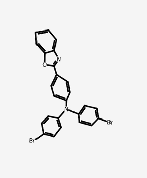 Brc1ccc(N(c2ccc(Br)cc2)c2ccc(-c3nc4ccccc4o3)cc2)cc1